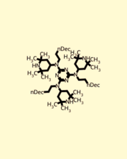 CCCCCCCCCCCCN(c1nc(N(CCCCCCCCCCCC)C2CC(C)(C)NC(C)(C)C2)nc(N(CCCCCCCCCCCC)C2CC(C)(C)NC(C)(C)C2)n1)C1CC(C)(C)NC(C)(C)C1